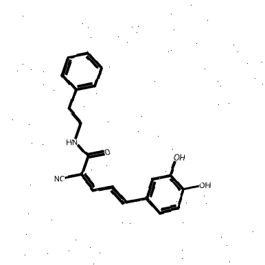 N#CC(=CC=Cc1ccc(O)c(O)c1)C(=O)NCCc1ccccc1